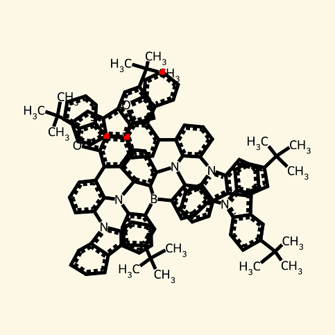 CC(C)(C)c1ccc2c(c1)B1c3ccc(-n4c5ccc(C(C)(C)C)cc5c5cc(C(C)(C)C)ccc54)cc3N(c3c(-c4cccc5oc6ccccc6c45)cccc3-n3c4ccccc4c4ccccc43)c3cc(-n4c5ccc(C(C)(C)C)cc5c5cc(C(C)(C)C)ccc54)cc(c31)N2c1c(-c2cccc3c2oc2ccccc23)cccc1-n1c2ccccc2c2ccccc21